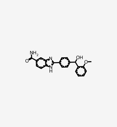 COc1ccccc1C(O)c1ccc(-c2nc3cc(C(N)=O)ccc3[nH]2)cc1